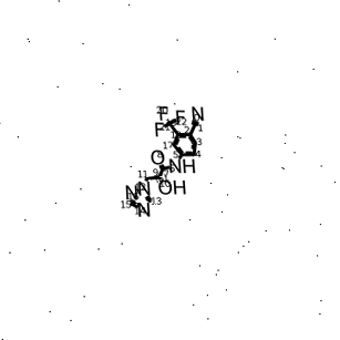 N#Cc1ccc(NC(=O)[C@@H](O)Cn2cncn2)cc1C(F)(F)F